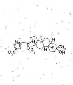 C[C@@]1(O)CC[C@@]2(F)[C@H](CC[C@H]3[C@@H]4CC[C@H](C(=O)Cn5cc([N+](=O)[O-])cn5)[C@@]4(C)CC[C@@H]32)C1